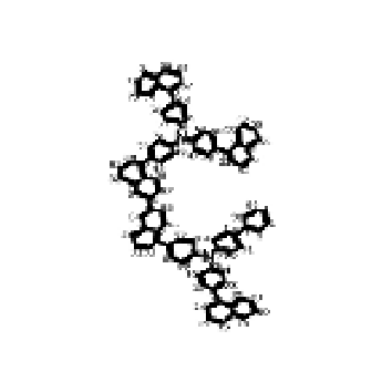 c1ccc(-c2ccc(N(c3ccc(-c4cccc5ccccc45)cc3)c3ccc(-c4cccc5cc(-c6ccc7c(-c8ccc(N(c9ccc(-c%10cccc%11ccccc%10%11)cc9)c9ccc(-c%10cccc%11ccccc%10%11)cc9)cc8)cccc7c6)ccc45)cc3)cc2)cc1